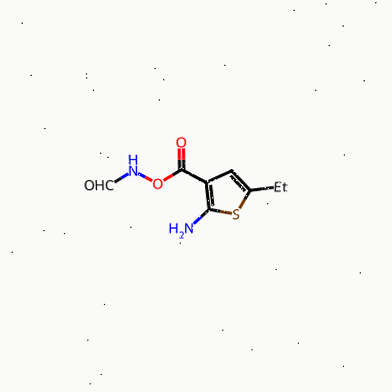 CCc1cc(C(=O)ONC=O)c(N)s1